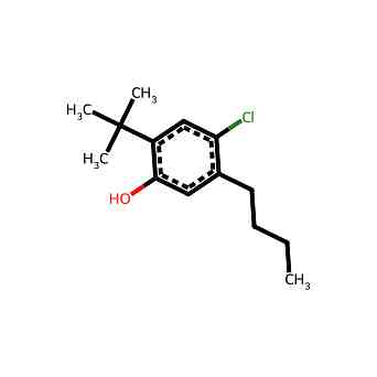 CCCCc1cc(O)c(C(C)(C)C)cc1Cl